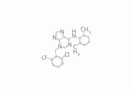 Cc1cccc(C)c1Nc1ncn(Cc2c(Cl)cccc2Cl)c2ncnc1-2